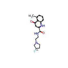 Cc1cccc2[nH]c(C(=O)NCCN3CC[C@@H](F)C3)cc(=O)c12